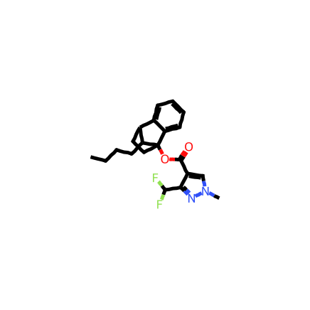 CCCCC1C2CCC1(OC(=O)c1cn(C)nc1C(F)F)c1ccccc12